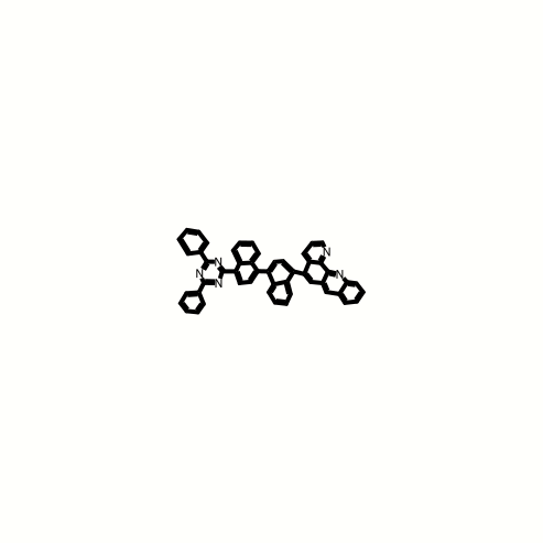 c1ccc(-c2nc(-c3ccccc3)nc(-c3ccc(-c4ccc(-c5cc6cc7ccccc7nc6c6ncccc56)c5ccccc45)c4ccccc34)n2)cc1